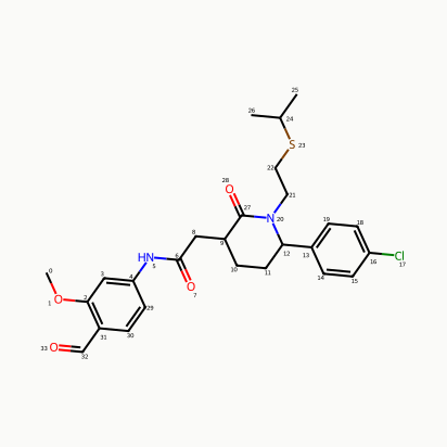 COc1cc(NC(=O)CC2CCC(c3ccc(Cl)cc3)N(CCSC(C)C)C2=O)ccc1C=O